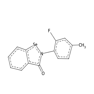 Cc1ccc(-n2[se]c3ccccc3c2=O)c(F)c1